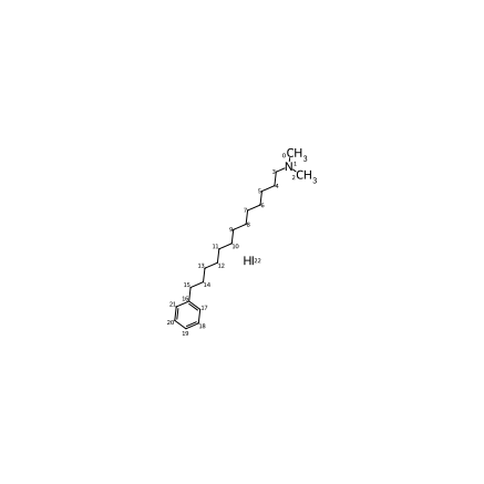 CN(C)CCCCCCCCCCCCCc1ccccc1.I